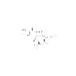 C=C1[C@@H](O)C(OC)(c2ccc(C)c(Cc3ccc(O)cc3)c2)O/C(=C/O)[C@H]1O